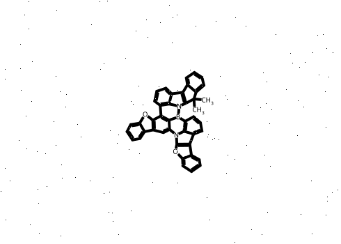 CC1(C)c2ccccc2-c2c1n1c3c(cccc23)-c2c3c(cc4c2oc2ccccc24)-n2c4oc5ccccc5c4c4cccc(c42)B31